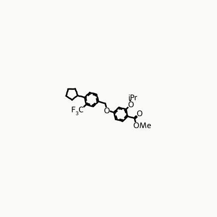 COC(=O)c1ccc(OCc2ccc(C3CCCC3)c(C(F)(F)F)c2)cc1OC(C)C